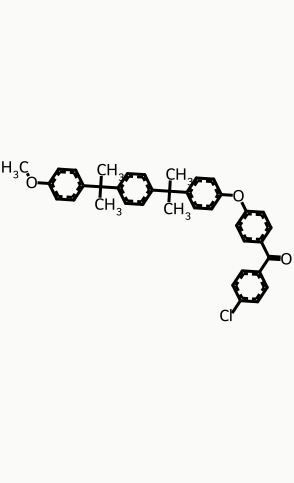 COc1ccc(C(C)(C)c2ccc(C(C)(C)c3ccc(Oc4ccc(C(=O)c5ccc(Cl)cc5)cc4)cc3)cc2)cc1